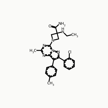 CCNC1(C(N)=O)CN(c2nc(C)nc3c(-c4ccc(C)cc4)c(-c4ccccc4Cl)nn23)C1